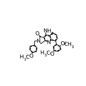 COc1ccc(CN2Cc3nc4c(-c5cc(OC)ccc5OC)cccc4c(N)c3C2=O)cc1